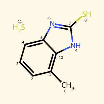 Cc1cccc2nc(S)[nH]c12.S